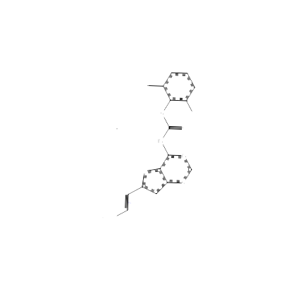 Cl.O=C(O)/C=C/c1cc2ncnc(NC(=O)Nc3c(Cl)cccc3Cl)c2s1